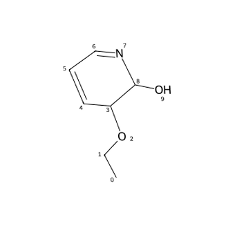 CCOC1C=CC=NC1O